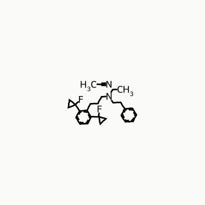 CC#N.CCN(CCCc1c(C2(F)CC2)cccc1C1(F)CC1)CCc1ccccc1